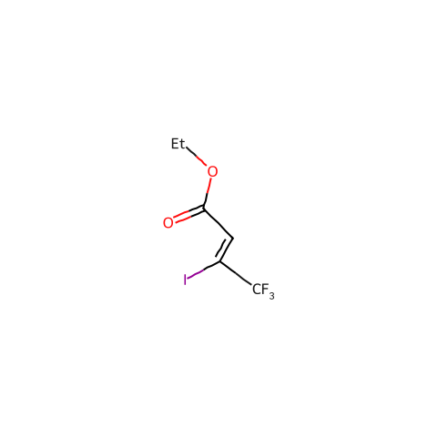 CCOC(=O)/C=C(\I)C(F)(F)F